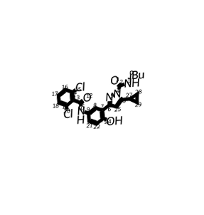 CCC(C)NC(=O)n1nc(-c2cc(NC(=O)c3c(Cl)cccc3Cl)ccc2O)cc1C1CC1